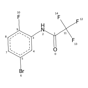 O=C(Nc1cc(Br)ccc1F)C(F)(F)F